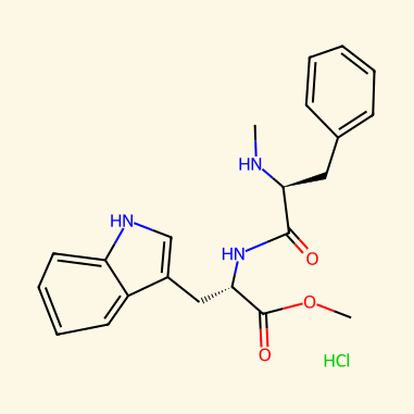 CN[C@@H](Cc1ccccc1)C(=O)N[C@@H](Cc1c[nH]c2ccccc12)C(=O)OC.Cl